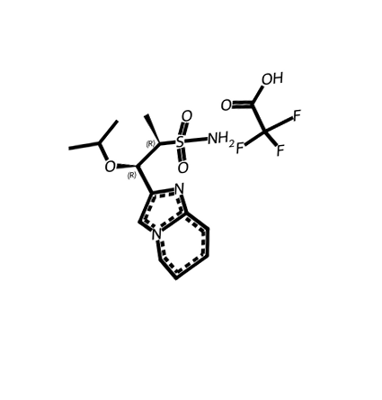 CC(C)O[C@H](c1cn2ccccc2n1)[C@@H](C)S(N)(=O)=O.O=C(O)C(F)(F)F